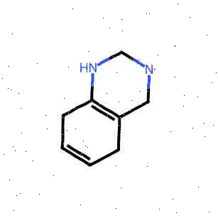 C1=CCC2=C(C1)C[N]CN2